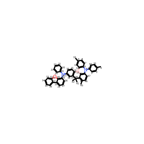 Cc1ccc(N2c3ccc(C)cc3B3c4ccc(N(c5ccccc5)c5cccc6c5oc5ccccc56)cc4C(C)(C)c4c(C)ccc2c43)cc1